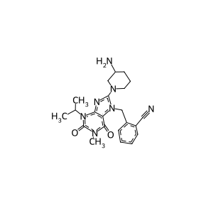 CC(C)n1c(=O)n(C)c(=O)c2c1nc(N1CCCC(N)C1)n2Cc1ccccc1C#N